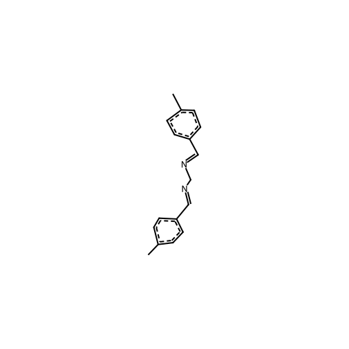 Cc1ccc(C=NCN=Cc2ccc(C)cc2)cc1